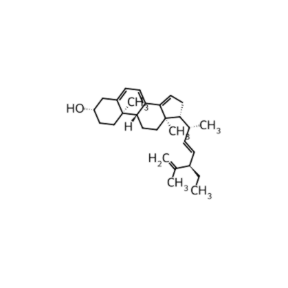 C=C(C)[C@@H](/C=C/[C@@H](C)[C@H]1CC=C2C3=CC=C4C[C@@H](O)CC[C@]4(C)[C@H]3CC[C@@]21C)CC